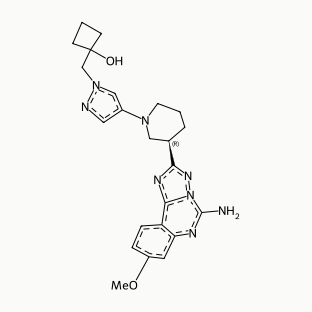 COc1ccc2c(c1)nc(N)n1nc([C@@H]3CCCN(c4cnn(CC5(O)CCC5)c4)C3)nc21